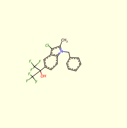 Cc1c(Cl)c2cc(C(O)(C(F)(F)F)C(F)(F)F)ccc2n1Cc1ccccc1